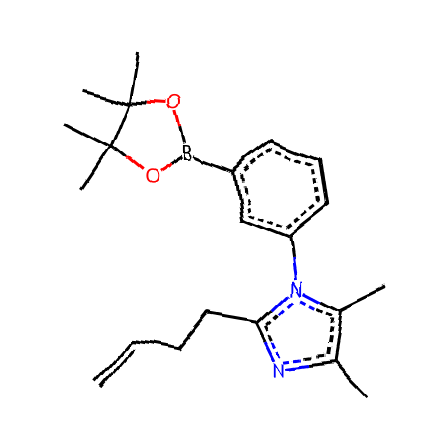 C=CCCc1nc(C)c(C)n1-c1cccc(B2OC(C)(C)C(C)(C)O2)c1